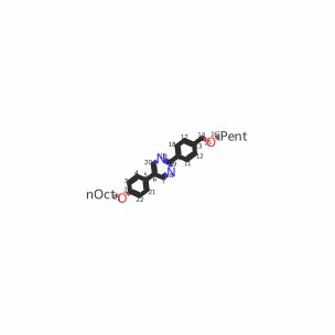 CCCCCCCCOc1ccc(-c2cnc(-c3ccc(COC(C)CCC)cc3)nc2)cc1